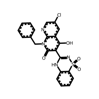 O=c1c(C2=NS(=O)(=O)c3ccccc3N2)c(O)c2cc(Cl)cnc2n1Cc1ccccc1